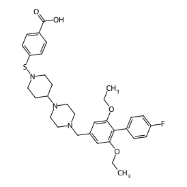 CCOc1cc(CN2CCN(C3CCN(Sc4ccc(C(=O)O)cc4)CC3)CC2)cc(OCC)c1-c1ccc(F)cc1